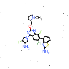 CN1CCCC1COc1nc(N2C[C@H](N)[C@@H](F)C2)c2cc(Cl)c(-c3cccc4sc(N)nc34)c(F)c2n1